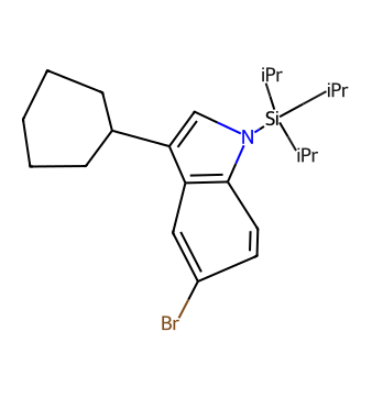 CC(C)[Si](C(C)C)(C(C)C)n1cc(C2CCCCC2)c2cc(Br)ccc21